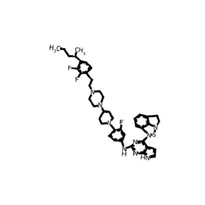 CCCC(C)c1ccc(CCN2CCN(C3CCN(c4ccc(Nc5nc(N6SN7CCc8cccc6c87)c6cc[nH]c6n5)cc4F)CC3)CC2)c(F)c1F